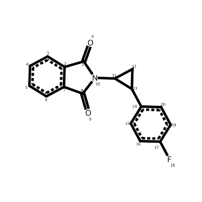 O=C1c2ccccc2C(=O)N1C1CC1c1ccc(F)cc1